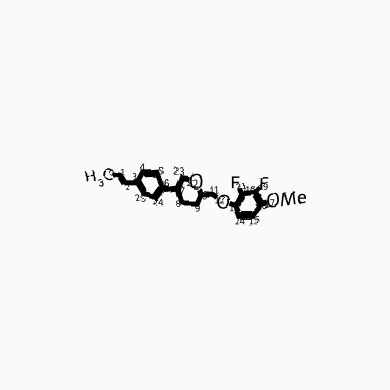 C/C=C/c1ccc(C2CCC(COc3ccc(OC)c(F)c3F)OC2)cc1